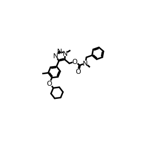 Cc1cc(-c2nnn(C)c2COC(=O)N(C)Cc2ccccc2)ccc1OC1CCCCC1